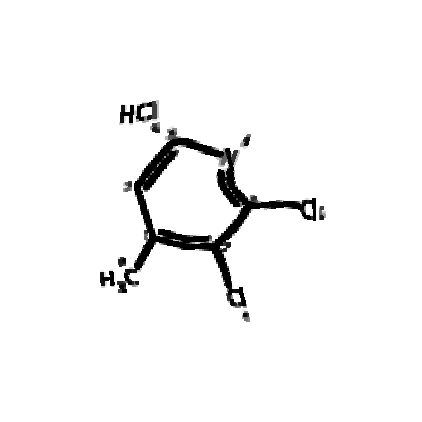 Cc1ccnc(Cl)c1Cl.Cl